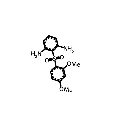 COc1ccc(S(=O)(=O)c2c(N)cccc2N)c(OC)c1